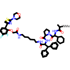 CNC(C)C(=O)NC(C(=O)N1CCCC1C(=O)NC(C(=O)NCCCCCCNC(=O)COc1c(-c2csc(N3CCOCC3)n2)ccc(F)c1F)C(c1ccccc1)c1ccccc1)C1CCCCC1